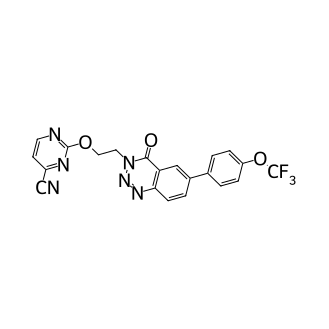 N#Cc1ccnc(OCCn2nnc3ccc(-c4ccc(OC(F)(F)F)cc4)cc3c2=O)n1